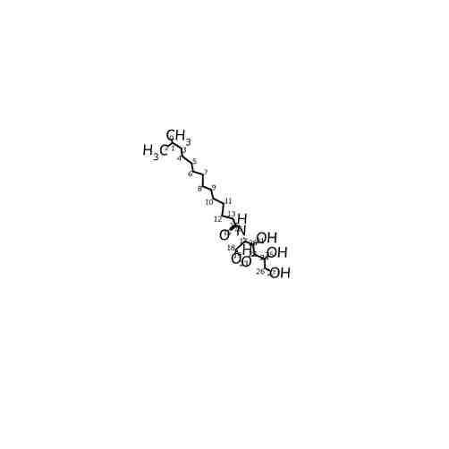 CC(C)CCCCCCCCCCCC(=O)N[C@@H](C=O)[C@@H](O)[C@H](O)[C@H](O)CO